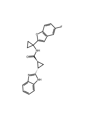 O=C(NC1(c2cc3cc(F)ccc3o2)CC1)[C@H]1C[C@@H]1c1nc2ccccc2[nH]1